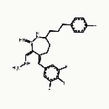 CN/C=C1\C(=C\c2cc(F)c(F)c(F)c2)CCC(CCCc2ccc(F)cc2)NS1=N